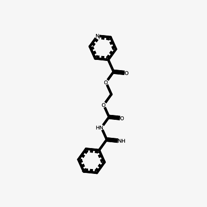 N=C(NC(=O)OCOC(=O)c1ccncc1)c1cc[c]cc1